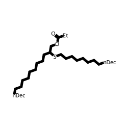 CCCCCCCCCCCCCCCCCCCC(COC(=O)CC)SCCCCCCCCCCCCCCCCCC